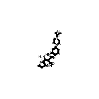 Nc1c(-c2nc3ccc(N4CCN(C5COC5)CC4)cc3[nH]2)c(=O)[nH]c2ccsc12